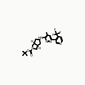 Cc1cc(-c2cnccc2C(F)(F)F)nnc1N[C@H]1C[C@@H]2CN(C(=O)OC(C)(C)C)C[C@@H]2C1